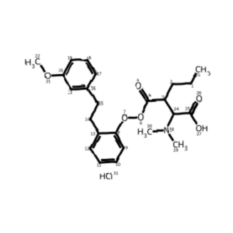 CCCC(C(=O)OOc1ccccc1CCc1cccc(OC)c1)C(C(=O)O)N(C)C.Cl